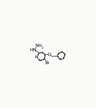 NNc1cc(OCc2ccccc2)c(Br)cn1